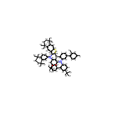 Cc1ccc(-c2ccc3c(c2)N(c2ccc(C(C)(C)C)cc2-c2ccccc2)c2cc(C(C)(C)C)cc4c2B3c2sc3cc5c(cc3c2N4c2ccc3c(c2)C(C)(C)CCC3(C)C)C(C)(C)CCC5(C)C)c(C)c1